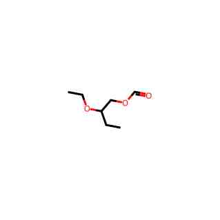 CCOC(CC)COC=O